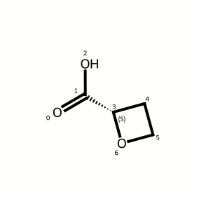 O=C(O)[C@@H]1CCO1